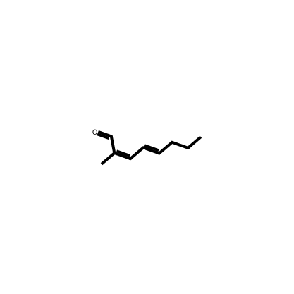 CCCC=CC=C(C)C=O